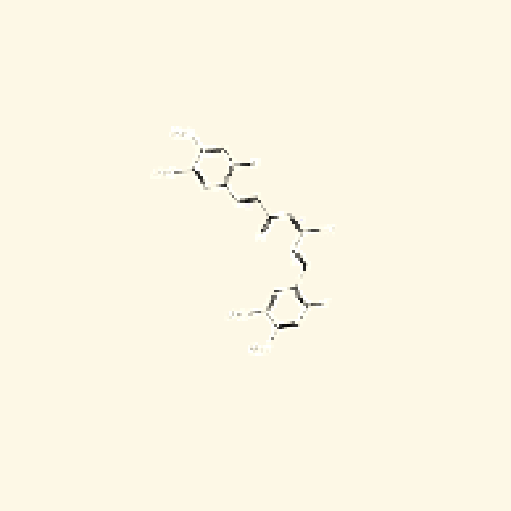 COc1cc(F)c(/C=C/C(=O)/C=C(O)\C=C\c2cc(OC)c(OC)cc2F)cc1OC